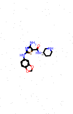 Nc1nc(Nc2ccc3c(c2)OCO3)sc1C(=O)N[C@H]1CCCNC1